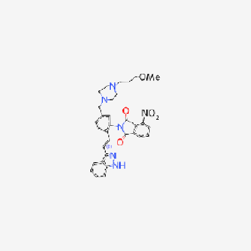 COCCCN1CCN(Cc2ccc(/C=C/c3n[nH]c4ccccc34)c(N3C(=O)c4cccc([N+](=O)[O-])c4C3=O)c2)CC1